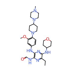 CCc1nc(NC=O)c(Nc2ccc(N3CCC(N4CCN(C)CC4)CC3)c(OC)c2)nc1NC1CCOCC1